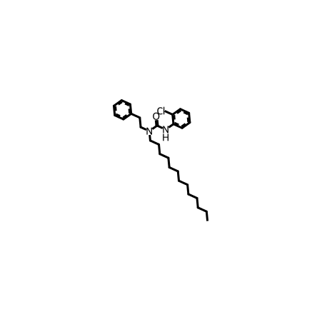 CCCCCCCCCCCCCN(CCc1ccccc1)C(=O)Nc1ccccc1Cl